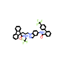 O=C(Nc1ccc2c(cnn2CCCC2(C(=O)NCC(F)(F)F)c3ccccc3-c3ccccc32)c1)c1ccccc1-c1ccc(C(F)(F)F)cc1